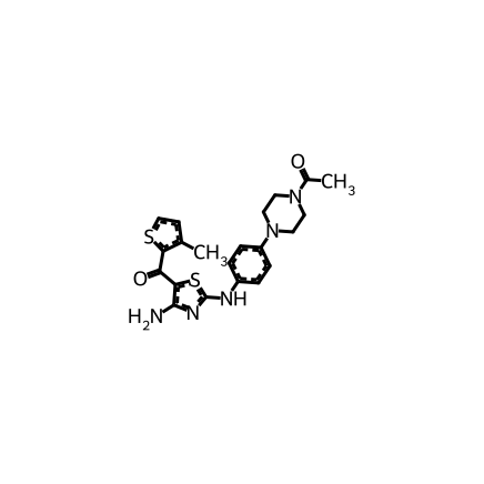 CC(=O)N1CCN(c2ccc(Nc3nc(N)c(C(=O)c4sccc4C)s3)cc2)CC1